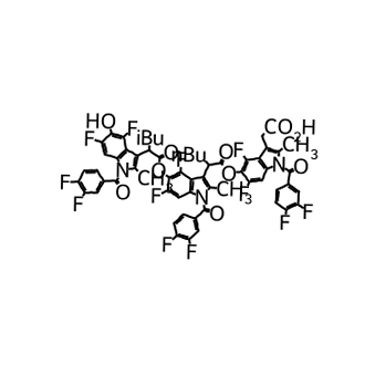 CCCCC(C(=O)Oc1c(F)cc2c(c1F)c(CC(=O)O)c(C)n2C(=O)c1ccc(F)c(F)c1)c1c(C)n(C(=O)c2ccc(F)c(F)c2)c2cc(F)c(OC(=O)C(c3c(C)n(C(=O)c4ccc(F)c(F)c4)c4cc(F)c(O)c(F)c34)C(C)CC)c(F)c12